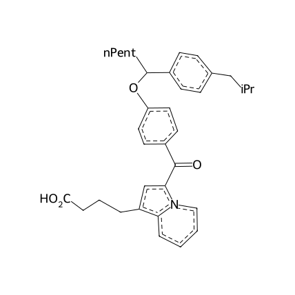 CCCCCC(Oc1ccc(C(=O)c2cc(CCCC(=O)O)c3ccccn23)cc1)c1ccc(CC(C)C)cc1